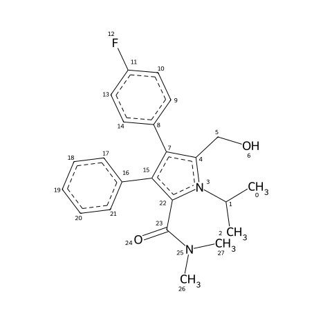 CC(C)n1c(CO)c(-c2ccc(F)cc2)c(-c2ccccc2)c1C(=O)N(C)C